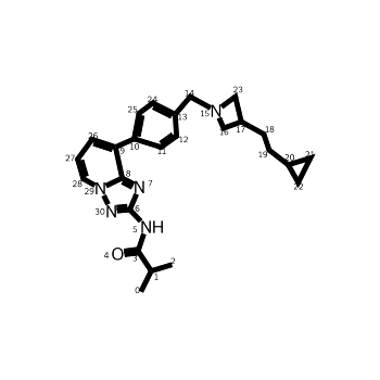 CC(C)C(=O)Nc1nc2c(-c3ccc(CN4CC(CCC5CC5)C4)cc3)cccn2n1